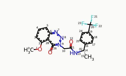 COc1cccc2nnn(CC(=O)N[C@@H](C)c3ccc(C(F)(F)F)cc3)c(=O)c12